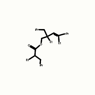 CCC/C(=C/C(CC)(COC(=O)C(CC)CC(C)C)CC(C)C)CC